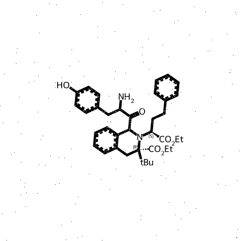 CCOC(=O)[C@H](CCc1ccccc1)N1C(C(=O)C(N)Cc2ccc(O)cc2)c2ccccc2C[C@]1(C(=O)OCC)C(C)(C)C